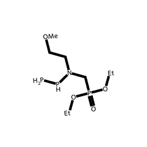 CCOP(=O)(CN(CCOC)PP)OCC